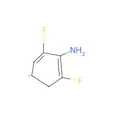 NC1=C(F)C[CH]C=C1F